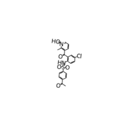 CC(=O)c1ccc(S(=O)(=O)Nc2ccc(Cl)cc2C(=O)c2ccc[n+](O)c2C)cc1